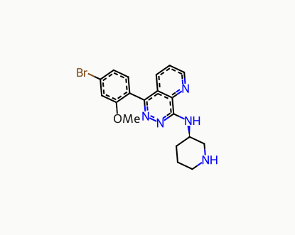 COc1cc(Br)ccc1-c1nnc(N[C@@H]2CCCNC2)c2ncccc12